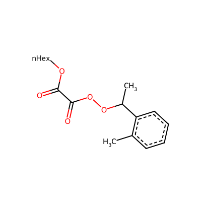 CCCCCCOC(=O)C(=O)OOC(C)c1ccccc1C